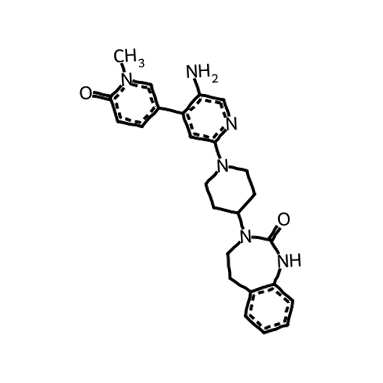 Cn1cc(-c2cc(N3CCC(N4CCc5ccccc5NC4=O)CC3)ncc2N)ccc1=O